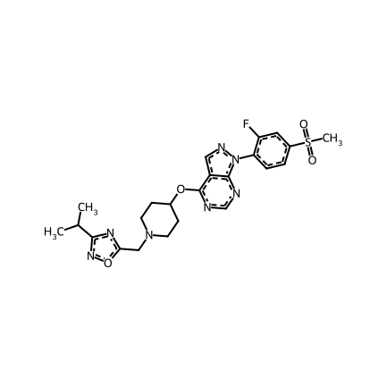 CC(C)c1noc(CN2CCC(Oc3ncnc4c3cnn4-c3ccc(S(C)(=O)=O)cc3F)CC2)n1